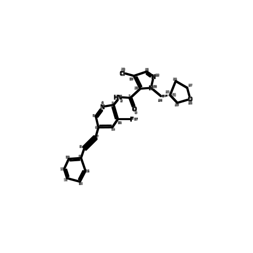 O=C(Nc1ncc(C#Cc2ccccc2)cc1F)c1c(Cl)cnn1C[C@@H]1CCOC1